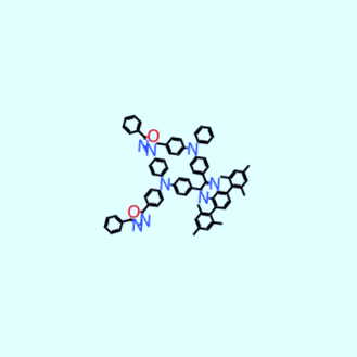 Cc1cc(C)c(-c2ccc(-c3c(C)cc(C)cc3C)c3nc(-c4ccc(N(c5ccccc5)c5ccc(-c6nnc(-c7ccccc7)o6)cc5)cc4)c(-c4ccc(N(c5ccccc5)c5ccc(-c6nnc(-c7ccccc7)o6)cc5)cc4)nc23)c(C)c1